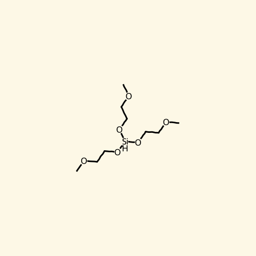 COCCO[SiH](OCCOC)OCCOC